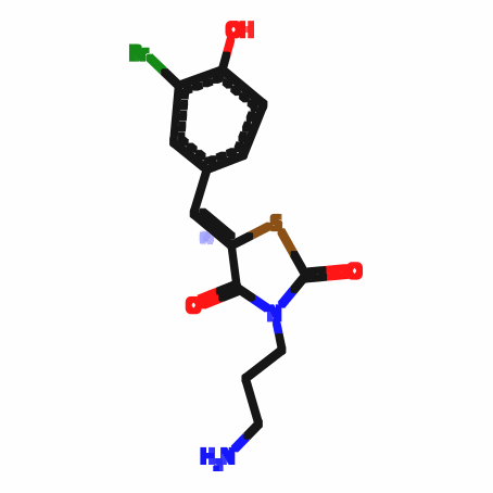 NCCCN1C(=O)S/C(=C\c2ccc(O)c(Br)c2)C1=O